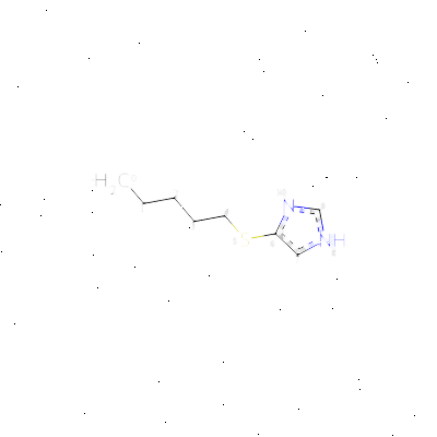 [CH2]CCCCSc1c[nH]cn1